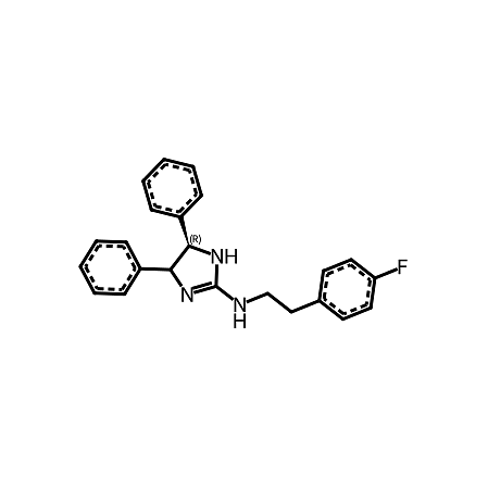 Fc1ccc(CCNC2=NC(c3ccccc3)[C@@H](c3ccccc3)N2)cc1